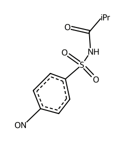 CC(C)C(=O)NS(=O)(=O)c1ccc(N=O)cc1